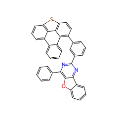 c1ccc(-c2nc(-c3cccc(-c4ccc5sc6cccc7c8ccccc8c4c5c67)c3)nc3c2oc2ccccc23)cc1